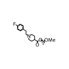 CON(C)OC(=O)C1CCN(CCc2ccc(F)cc2)CC1